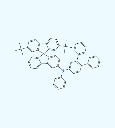 CC(C)(C)c1ccc2c(c1)C1(c3ccccc3-c3cc(N(c4ccccc4)c4ccc(-c5ccccc5)c(-c5ccccc5)c4)ccc31)c1cc(C(C)(C)C)ccc1-2